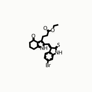 CCOC(=O)CCc1c(/C=C2/C(=S)Nc3cc(Br)ccc32)[nH]c2c1C(=O)CCC2